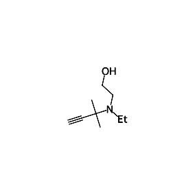 C#CC(C)(C)N(CC)CCO